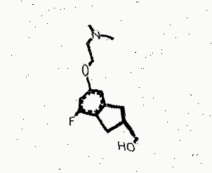 CN(C)CCOc1cc(F)c2c(c1)CC(CO)C2